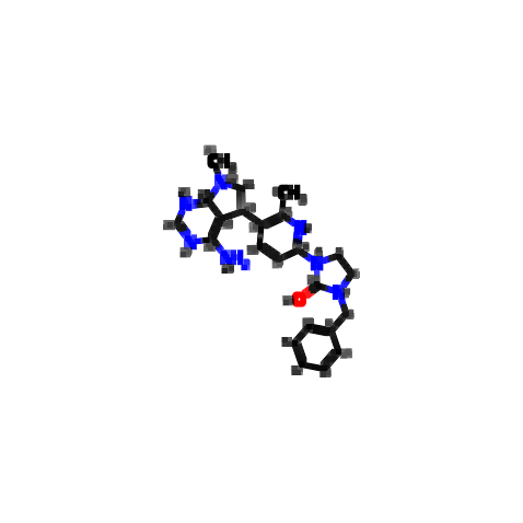 Cc1nc(N2CCN(Cc3ccccc3)C2=O)ccc1-c1cn(C)c2ncnc(N)c12